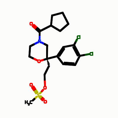 CS(=O)(=O)OCC[C@@]1(c2ccc(Cl)c(Cl)c2)CN(C(=O)C2CCCC2)CCO1